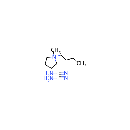 CCCC[N+]1(C)CCCC1.N#CN.N#CN